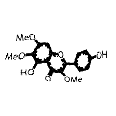 COc1cc2oc(-c3ccc(O)cc3)c(OC)c(=O)c2c(O)c1OC